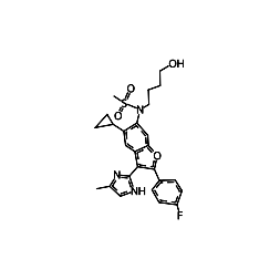 Cc1c[nH]c(-c2c(-c3ccc(F)cc3)oc3cc(N(CCCCO)S(C)(=O)=O)c(C4CC4)cc23)n1